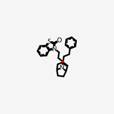 O=c1sc2ccccc2n1CCCN1C2C=C(CCc3ccccc3)CC1CC2